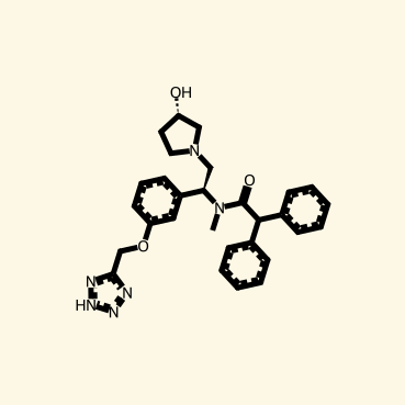 CN(C(=O)C(c1ccccc1)c1ccccc1)[C@H](CN1CC[C@H](O)C1)c1cccc(OCc2nn[nH]n2)c1